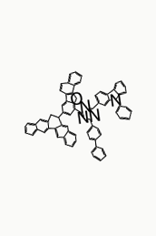 c1ccc(-c2ccc(-c3nc(-c4ccc5c6ccccc6n(-c6ccccc6)c5c4)nc(-c4cc(C5Cc6cc7ccccc7cc6-c6cc7ccccc7cc65)cc5c4oc4c6ccccc6ccc54)n3)cc2)cc1